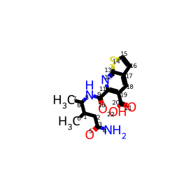 CC(CC(N)=O)C(C)NC(=O)c1nc2sccc2cc1C(=O)O